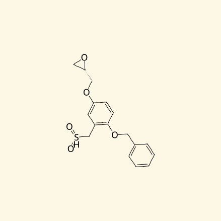 O=[SH](=O)Cc1cc(OC[C@@H]2CO2)ccc1OCc1ccccc1